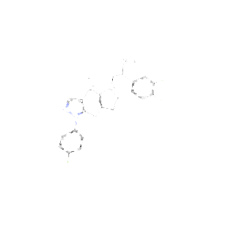 CC(=O)NC(C[C@H]1CCC2=C1[C@@H](C)c1cnn(-c3ccc(F)cc3)c1C2)c1ccc(F)c(F)c1